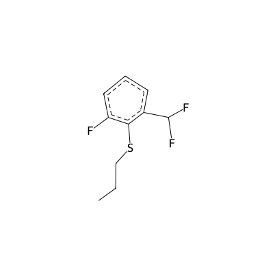 CCCSc1c(F)cccc1C(F)F